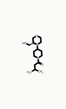 CC(C)CC(=O)N1CCC(N2CCOC[C@@H]2CO)CC1